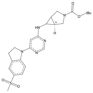 CC(C)(C)OC(=O)N1CC2C(Nc3cc(N4CCc5cc(S(C)(=O)=O)ccc54)ncn3)[C@@H]2C1